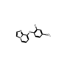 O=[N+]([O-])c1ccc(Oc2cccn3ccnc23)c(F)c1